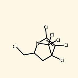 ClCC1CC2(Cl)C(Cl)=C(Cl)N1C2(Cl)Cl